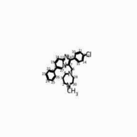 CN1CCCN(Cc2c(-c3ccc(Cl)cc3)nc3ccc(-c4ccccc4)cn23)CC1